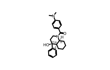 CN(C)c1ccc(C(=O)N2CC[C@@](O)(c3ccccc3)[C@@H]3CCCC[C@@H]32)cc1